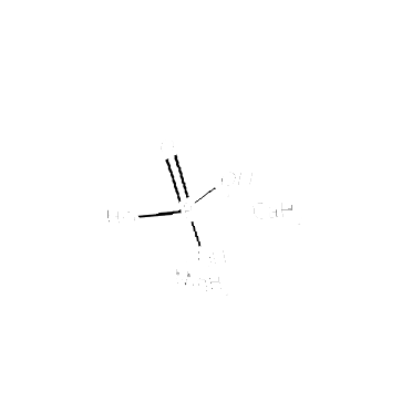 O=P(O)(O)O.[CaH2].[MgH2]